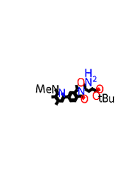 CNc1nc(-c2ccc3c(c2)C(C)N(C(CCC(=O)OC(C)(C)C)C(N)=O)C3=O)cc(C)c1C